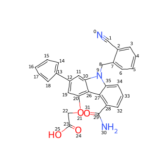 N#Cc1ccccc1Cn1c2cc(-c3ccccc3)cc(OCC(=O)O)c2c2c(C(N)=O)cccc21